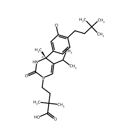 CC(C)C1=CN(CCC(C)(C)C(=O)O)C(=O)N[C@]1(C)c1ccc(CCC(C)(C)C)c(Cl)c1